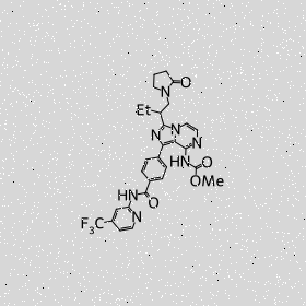 CCC(CN1CCCC1=O)c1nc(-c2ccc(C(=O)Nc3cc(C(F)(F)F)ccn3)cc2)c2c(NC(=O)OC)nccn12